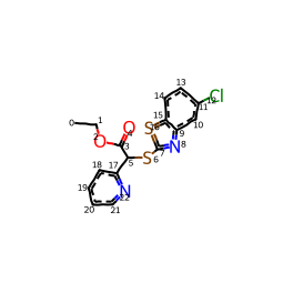 CCOC(=O)C(Sc1nc2cc(Cl)ccc2s1)c1ccccn1